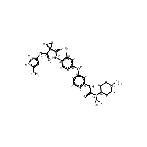 Cc1cc(NC(=O)C2(C(=O)Nc3ccc(Oc4ccnc(NC(=O)N(C)C5CCN(C)CC5)c4)cc3F)CC2)on1